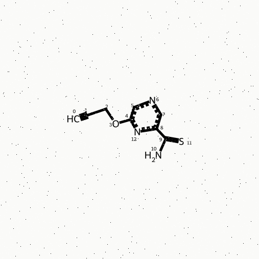 C#CCOc1cncc(C(N)=S)n1